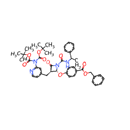 CC(NC(=O)N1C(=O)[C@H](Cc2ccnc(N(C(=O)OC(C)(C)C)C(=O)OC(C)(C)C)c2)[C@H]1Oc1ccc(C(=O)OCc2ccccc2)cc1)c1ccccc1